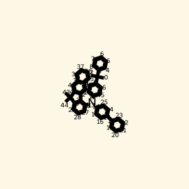 CC(C)(c1ccccc1)c1ccc(N(c2ccc(-c3ccccc3)cc2)c2cccc3c2-c2cc4ccccc4cc2C3(C)C)cc1